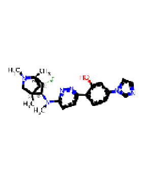 CN(c1ccc(-c2ccc(-n3ccnc3)cc2O)nn1)[C@@H]1[C@@H](F)[C@]2(C)C[C@@]1(C)CN2C